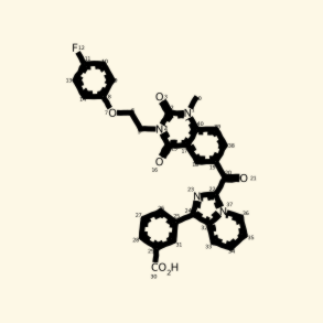 Cn1c(=O)n(CCOc2ccc(F)cc2)c(=O)c2cc(C(=O)c3nc(-c4cccc(C(=O)O)c4)c4ccccn34)ccc21